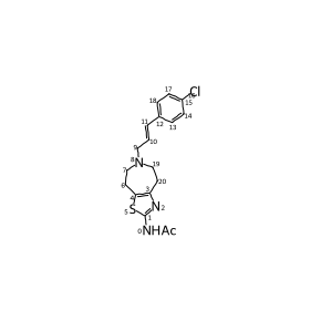 CC(=O)Nc1nc2c(s1)CCN(CC=Cc1ccc(Cl)cc1)CC2